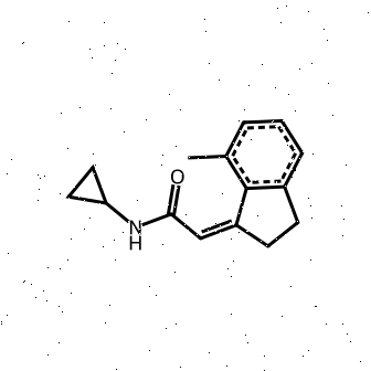 Cc1cccc2c1/C(=C\C(=O)NC1CC1)CC2